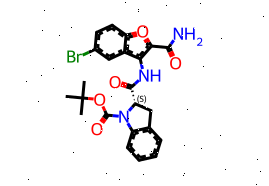 CC(C)(C)OC(=O)N1c2ccccc2C[C@H]1C(=O)Nc1c(C(N)=O)oc2ccc(Br)cc12